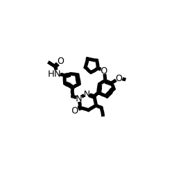 CCC1CC(=O)N(Cc2cccc(NC(C)=O)c2)N=C1c1ccc(OC)c(OC2CCCC2)c1